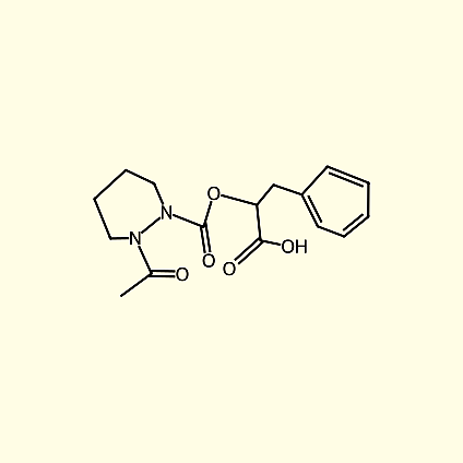 CC(=O)N1CCCCN1C(=O)OC(Cc1ccccc1)C(=O)O